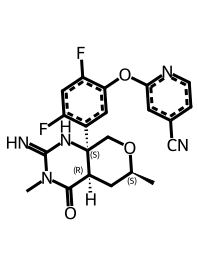 C[C@H]1C[C@H]2C(=O)N(C)C(=N)N[C@@]2(c2cc(Oc3cc(C#N)ccn3)c(F)cc2F)CO1